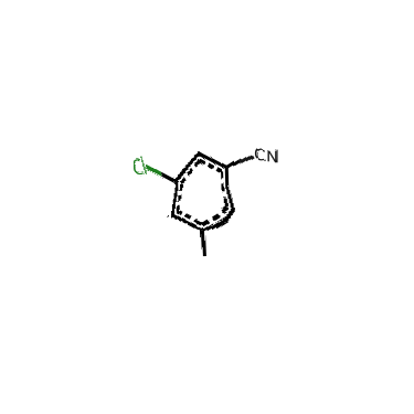 Cc1[c]c(Cl)cc(C#N)c1